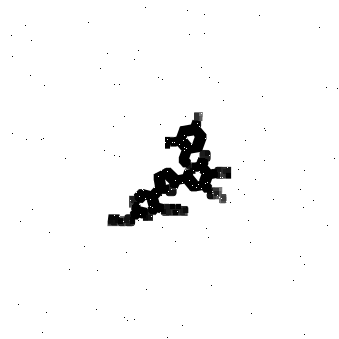 COc1ncc(-c2ccc(-c3cc(C(F)(F)F)c(C#N)c(=O)n3Cc3ccc(F)cc3F)o2)c(OC)n1